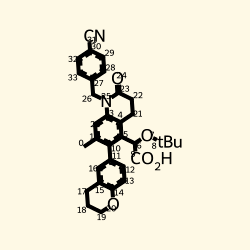 Cc1cc2c(c(C(OC(C)(C)C)C(=O)O)c1-c1ccc3c(c1)CCCO3)CCC(=O)N2Cc1ccc(C#N)cc1